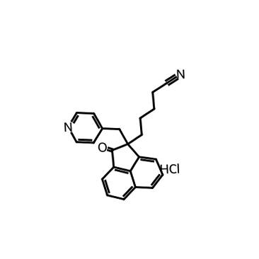 Cl.N#CCCCCC1(Cc2ccncc2)C(=O)c2cccc3cccc1c23